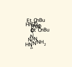 CCCCOC(=O)[C@H](CC)NP(COCCn1cnc2c(NC3CC3)nc(N)nc21)N[C@@H](CC)C(=O)OCCCC